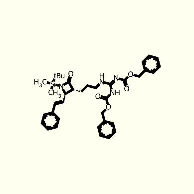 CC(C)(C)[Si](C)(C)N1C(=O)[C@H](CCCNC(=NC(=O)OCc2ccccc2)NC(=O)OCc2ccccc2)[C@H]1C=Cc1ccccc1